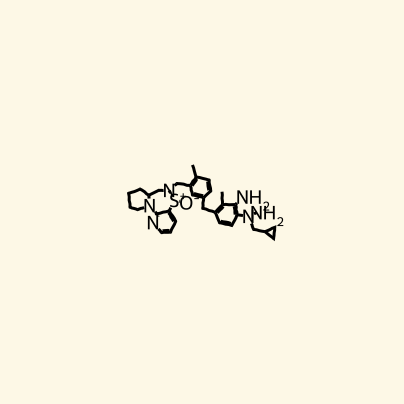 Cc1ccc(Cc2ccc(N(N)CC3CC3)c(N)c2C)cc1CN1CC2CCCCN2c2ncccc2[S+]1[O-]